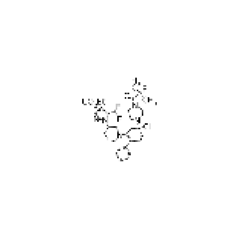 CCOC(=O)c1cnn(C2CCCN(C3=C(c4ccccc4)C=CC(Cl)(N4CCN(C(=O)C(C)(C)F)CC4)C3)C2)c1C(F)F